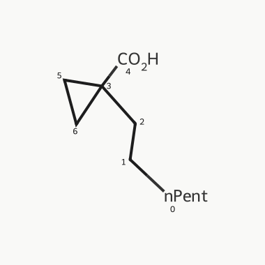 CCCCCCCC1(C(=O)O)CC1